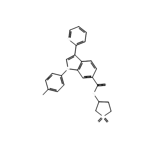 O=C(NC1CCS(=O)(=O)C1)c1ccc2c(-c3ccccn3)cn(-c3ccc(F)cc3)c2c1